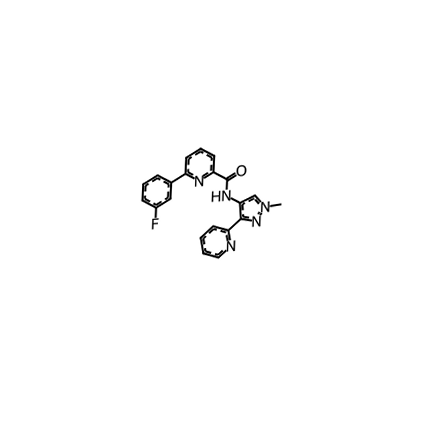 Cn1cc(NC(=O)c2cccc(-c3cccc(F)c3)n2)c(-c2ccccn2)n1